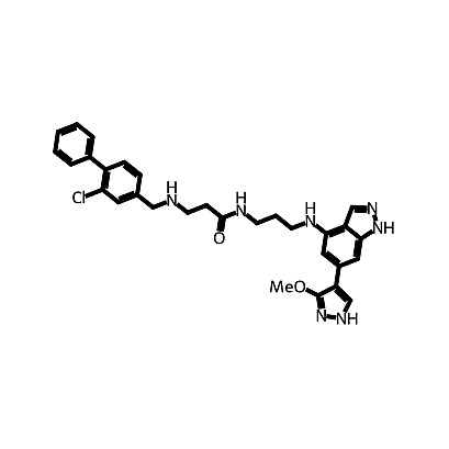 COc1n[nH]cc1-c1cc(NCCCNC(=O)CCNCc2ccc(-c3ccccc3)c(Cl)c2)c2cn[nH]c2c1